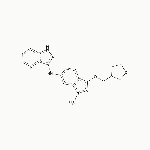 Cn1nc(OCC2CCOC2)c2ccc(Nc3n[nH]c4cccnc34)cc21